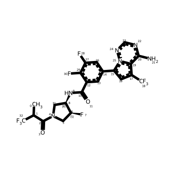 CC(C(=O)N1C[C@H](F)[C@H](NC(=O)c2cc(-c3cc(C(F)(F)F)c4c(N)ncnn34)cc(F)c2F)C1)C(F)(F)F